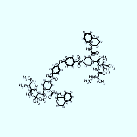 CN[C@@H](C)C(=O)N[C@H](C(=O)N1CCN(S(=O)(=O)c2ccc(Oc3ccc(S(=O)(=O)N4CCN(C(=O)[C@@H](NC(=O)[C@H](C)NC)C(C)(C)C)[C@H](C(=O)N[C@@H]5CCCc6ccccc65)C4)cc3)cc2)C[C@H]1C(=O)N[C@@H]1CCCc2ccccc21)C(C)(C)C